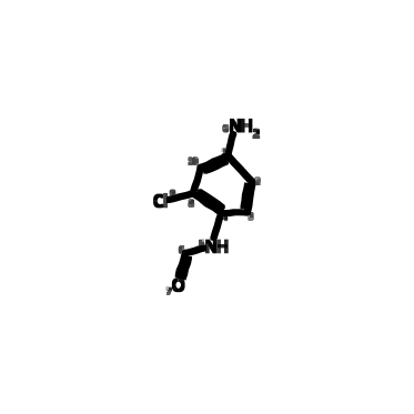 Nc1ccc(NC=O)c(Cl)c1